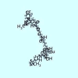 Cc1ncsc1-c1ccc(CNC(=O)[C@@H]2C[C@@H](O)CN2C(=O)C(NC(=O)CCCCCC(=O)NCCOCCOCCNC(=O)c2ccc3c(c2)c2cn(C)nc2n3-c2ccc(C(F)(F)F)cc2)C(C)(C)C)cc1